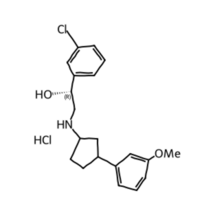 COc1cccc(C2CCC(NC[C@H](O)c3cccc(Cl)c3)C2)c1.Cl